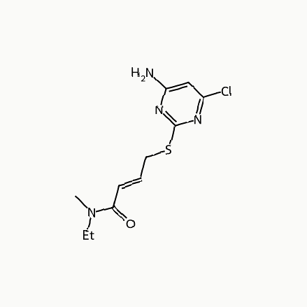 CCN(C)C(=O)C=CCSc1nc(N)cc(Cl)n1